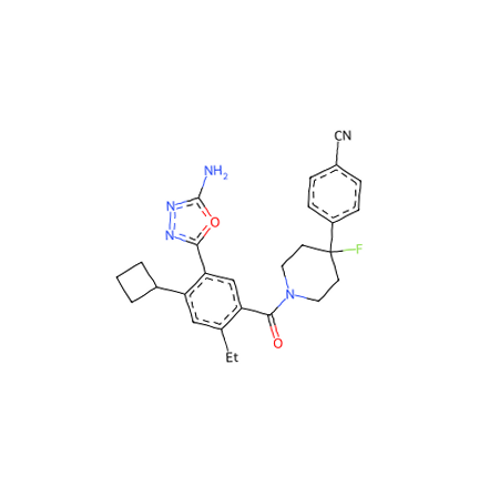 CCc1cc(C2CCC2)c(-c2nnc(N)o2)cc1C(=O)N1CCC(F)(c2ccc(C#N)cc2)CC1